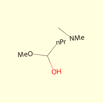 CCCC(O)OC.CNC